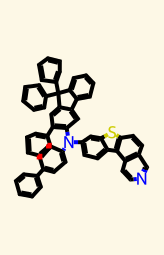 c1ccc(-c2ccc(N(c3ccc4c(c3)sc3ccc5cnccc5c34)c3cc4c(cc3-c3ccccc3)C(c3ccccc3)(c3ccccc3)c3ccccc3-4)cc2)cc1